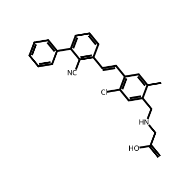 C=C(O)CNCc1cc(Cl)c(/C=C/c2cccc(-c3ccccc3)c2C#N)cc1C